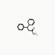 NC(=O)CC(c1ccccc1)C1C=CC=CC1